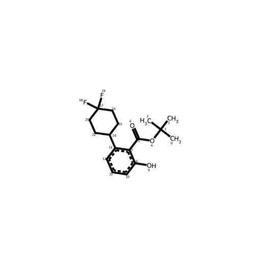 CC(C)(C)OC(=O)c1c(O)cccc1C1CCC(F)(F)CC1